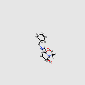 CC1(C)COC23CCN(Cc4ccccc4)CC2CCC(=O)N13